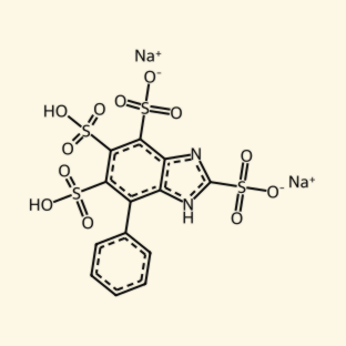 O=S(=O)([O-])c1nc2c(S(=O)(=O)[O-])c(S(=O)(=O)O)c(S(=O)(=O)O)c(-c3ccccc3)c2[nH]1.[Na+].[Na+]